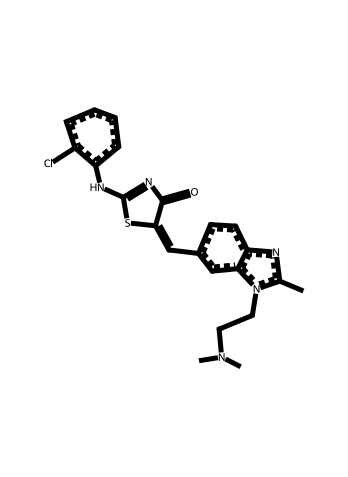 Cc1nc2ccc(C=C3SC(Nc4ccccc4Cl)=NC3=O)cc2n1CCN(C)C